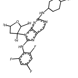 [2H]C1CC([2H])(n2c(Nc3c(F)cc(F)cc3F)nc3cnc(NC4CCC(O)CC4)nc32)C([2H])O1